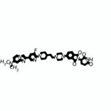 CN(C)c1ccn2cc(-c3cnc(N4CCC(CCN5CCN(c6ccc7c(c6)C(=O)N(C6CCC(=O)NC6=O)C7=O)CC5)CC4)c(F)c3)nc2c1